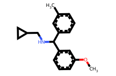 COc1cccc(C(NCC2CC2)c2cccc(C)c2)c1